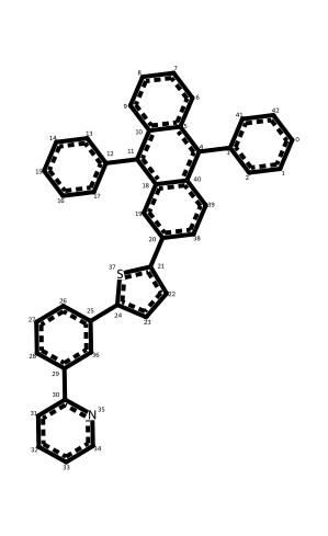 c1ccc(-c2c3ccccc3c(-c3ccccc3)c3cc(-c4ccc(-c5cccc(-c6ccccn6)c5)s4)ccc23)cc1